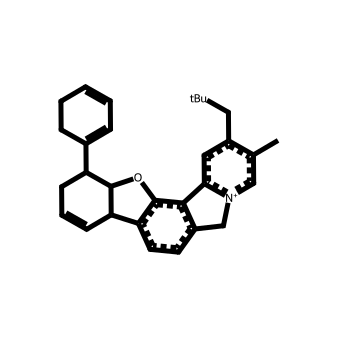 Cc1c[n+]2c(cc1CC(C)(C)C)-c1c(ccc3c1OC1C(C4=CC=CCC4)CC=CC31)C2